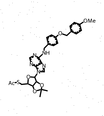 COc1ccc(COc2ccc(CNc3ncnc4c3ncn4C3OC(CSC(C)=O)C4OC(C)(C)OC43)cc2)cc1